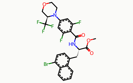 COC(=O)[C@H](Cc1ccc(Br)c2ccccc12)NC(=O)c1c(F)cc(N2CCOC[C@@H]2C(F)(F)F)cc1F